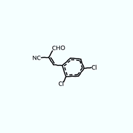 N#CC(C=O)=Cc1ccc(Cl)cc1Cl